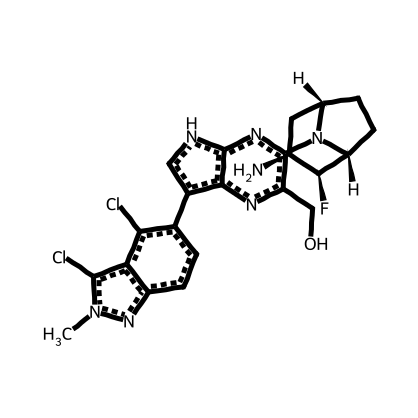 Cn1nc2ccc(-c3c[nH]c4nc(N5[C@H]6CC[C@@H]5[C@@H](F)[C@@H](N)C6)c(CO)nc34)c(Cl)c2c1Cl